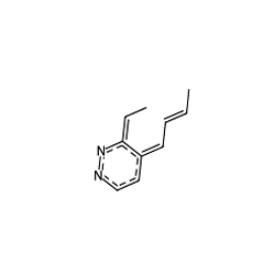 C/C=C/C=c1/ccnn/c1=C/C